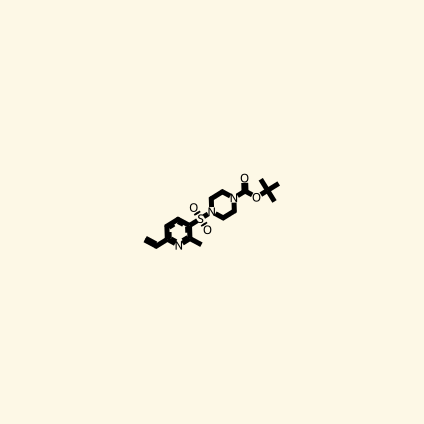 C=Cc1ccc(S(=O)(=O)N2CCN(C(=O)OC(C)(C)C)CC2)c(C)n1